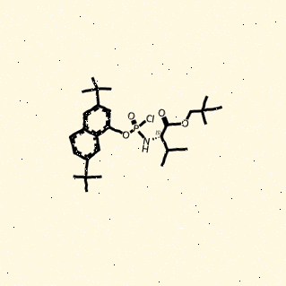 CC(C)[C@H](NP(=O)(Cl)Oc1cc(C(C)(C)C)cc2ccc(C(C)(C)C)cc12)C(=O)OCC(C)(C)C